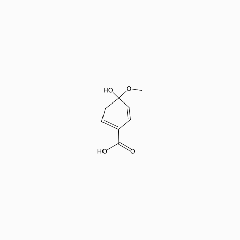 COC1(O)C=CC(C(=O)O)=CC1